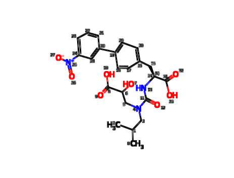 CC(C)CN(CC(O)C(=O)O)C(=O)N[C@@H](Cc1ccc(-c2cccc([N+](=O)[O-])c2)cc1)C(=O)O